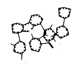 Cc1ccc(-c2cccc3c4cccc(-c5ccc(C)cc5C)c4n(-c4cccc5c4C(=O)N(c4cccc(-c6ccccc6)c4)C5=O)c23)c(C)c1